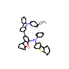 Cc1ccc(-n2c3ccccc3c3ccc(-c4cc(N(c5ccccc5)c5ccc6sc7ccccc7c6c5)c5oc6ccccc6c5c4)cc32)cc1